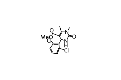 COC(=O)C1=C(C)N(C)C(=O)NC1c1c(Cl)cccc1Cl